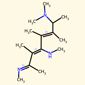 C/N=C(C)/C(C)=C(NC)/C(C)=C(\C)C(C)N(C)C